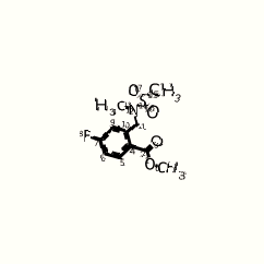 COC(=O)c1ccc(F)cc1CN(C)S(C)(=O)=O